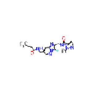 CC(C)n1nccc1C(=O)NCc1nc2cc(CNC(=O)CCC(F)(F)F)cnn2c1F